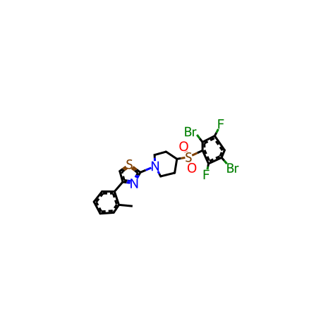 Cc1ccccc1-c1csc(N2CCC(S(=O)(=O)c3c(F)c(Br)cc(F)c3Br)CC2)n1